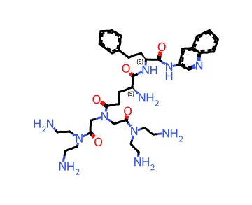 NCCN(CCN)C(=O)CN(CC(=O)N(CCN)CCN)C(=O)CC[C@H](N)C(=O)N[C@@H](CCc1ccccc1)C(=O)Nc1cnc2ccccc2c1